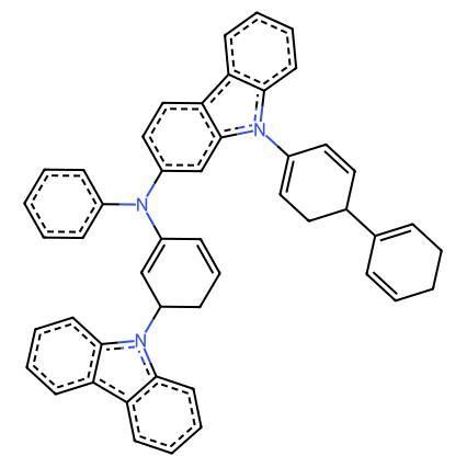 C1=CC(C2C=CC(n3c4ccccc4c4ccc(N(C5=CC(n6c7ccccc7c7ccccc76)CC=C5)c5ccccc5)cc43)=CC2)=CCC1